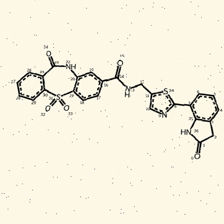 O=C1Cc2cccc(-c3ncc(CNC(=O)c4ccc5c(c4)NC(=O)c4ccccc4S5(=O)=O)s3)c2N1